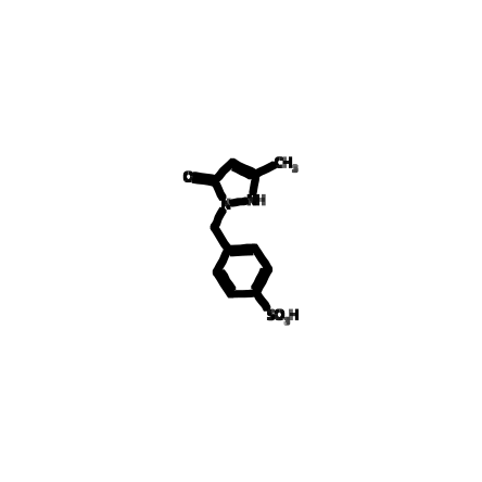 Cc1cc(=O)n(Cc2ccc(S(=O)(=O)O)cc2)[nH]1